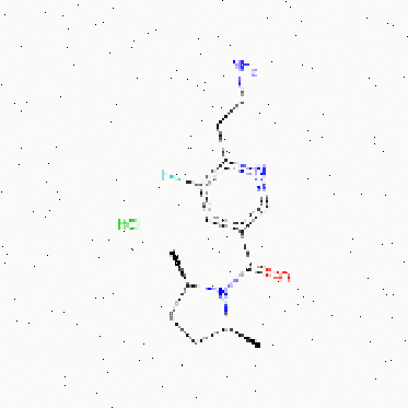 C[C@@H]1CC[C@H](C)N1C(=O)c1cnc(CCN)c(F)c1.Cl